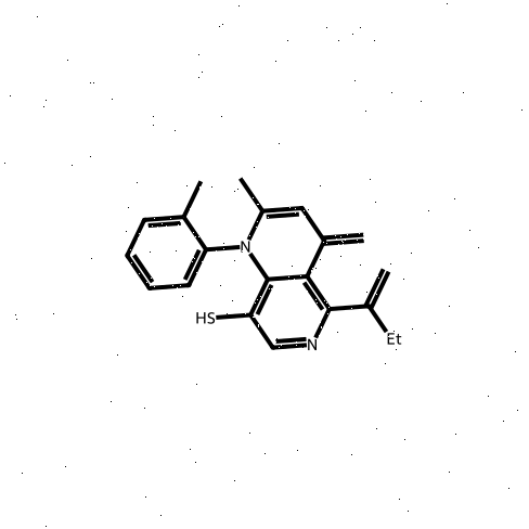 C=C(CC)c1ncc(S)c2c1C(=C)C=C(C)N2c1ccccc1C